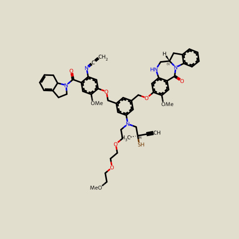 C#C[C@@](C)(S)CN(CCOCCOCCOC)c1cc(COc2cc(N=C=C)c(C(=O)N3CCC4=CC=CCC43)cc2OC)cc(COc2cc3c(cc2OC)C(=O)N2c4ccccc4C[C@H]2CN3)c1